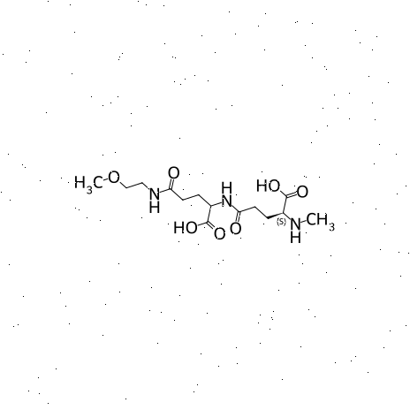 CN[C@@H](CCC(=O)NC(CCC(=O)NCCOC)C(=O)O)C(=O)O